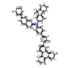 CC1(C)c2ccccc2-c2ccc(N(c3ccc(-c4ccc(-c5ccc6c7ccccc7c7ccccc7c6c5)s4)cc3)c3ccc4ccc(-c5ccccc5)cc4c3)cc21